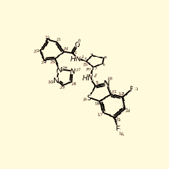 O=C(N[C@H]1CCC[C@H]1Nc1nc2c(F)cc(F)cc2s1)c1ccccc1-n1nccn1